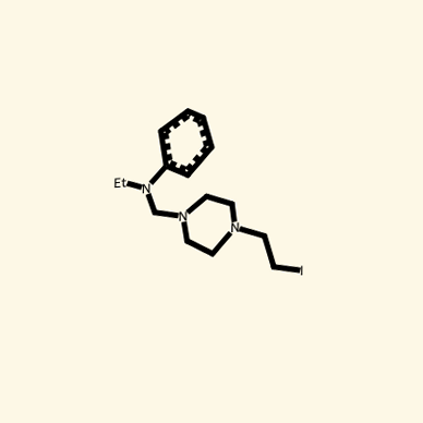 CCN(CN1CCN(CCI)CC1)c1ccccc1